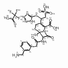 NCc1cccc(CC(=O)NC2C(=O)N3C(C(=O)O)=C(C(CS(=O)(=O)O)Sc4nnn[nH]4)CS[C@@H]23)c1.O=C(O)C(F)(F)F